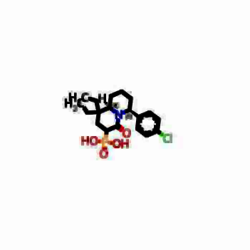 CCC1(CC)CC(P(=O)(O)O)C(=O)N2[C@H](c3ccc(Cl)cc3)CCC[C@@H]21